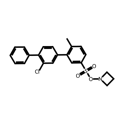 Cc1ccc(S(=O)(=O)ON2CCC2)cc1-c1ccc(-c2ccccc2)c(Cl)c1